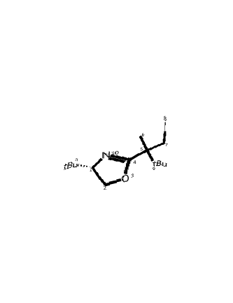 CC(C)(C)[C@H]1COC(C(C)(CI)C(C)(C)C)=N1